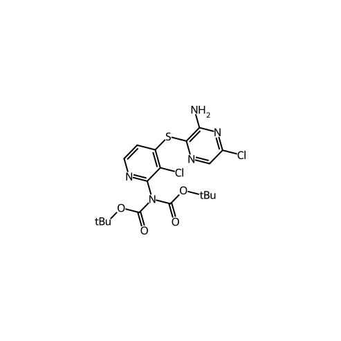 CC(C)(C)OC(=O)N(C(=O)OC(C)(C)C)c1nccc(Sc2ncc(Cl)nc2N)c1Cl